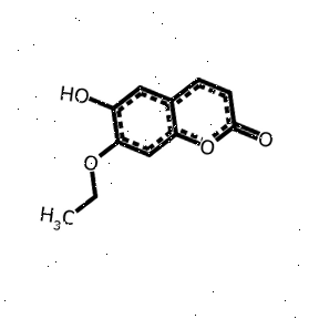 CCOc1cc2oc(=O)ccc2cc1O